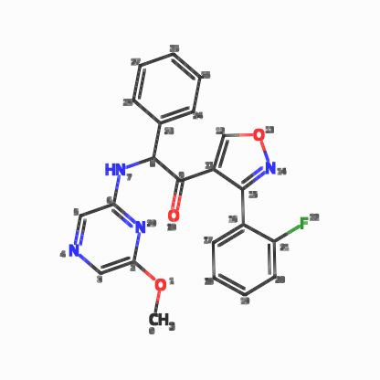 COc1cncc(NC(C(=O)c2conc2-c2ccccc2F)c2ccccc2)n1